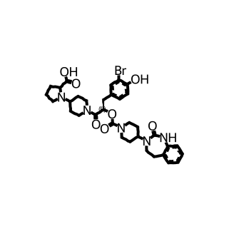 O=C(O)C1CCCN1C1CCN(C(=O)[C@@H](Cc2ccc(O)c(Br)c2)OC(=O)N2CCC(N3CCc4ccccc4NC3=O)CC2)CC1